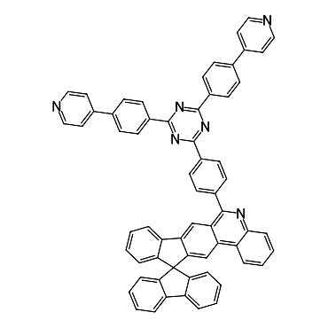 c1ccc2c(c1)-c1ccccc1C21c2ccccc2-c2cc3c(-c4ccc(-c5nc(-c6ccc(-c7ccncc7)cc6)nc(-c6ccc(-c7ccncc7)cc6)n5)cc4)nc4ccccc4c3cc21